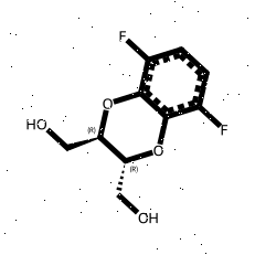 OC[C@H]1Oc2c(F)ccc(F)c2O[C@@H]1CO